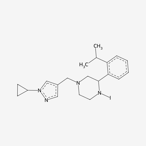 CC(C)c1ccccc1C1CN(Cc2cnn(C3CC3)c2)CCN1I